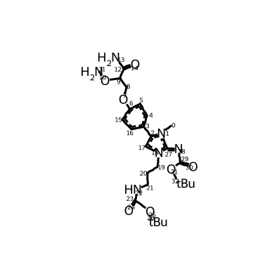 Cn1c(-c2ccc(OCC(ON)C(N)=O)cc2)cn(CCCNC(=O)OC(C)(C)C)c1=NC(=O)OC(C)(C)C